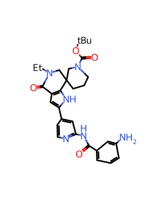 CCN1CC2(CCCN(C(=O)OC(C)(C)C)C2)c2[nH]c(-c3ccnc(NC(=O)c4cccc(N)c4)c3)cc2C1=O